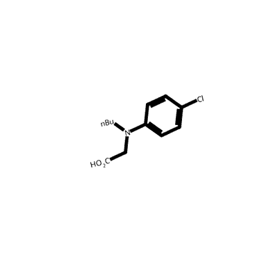 CCCCN(CC(=O)O)c1ccc(Cl)cc1